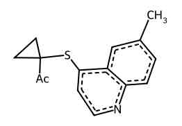 CC(=O)C1(Sc2ccnc3ccc(C)cc23)CC1